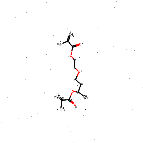 C=C(C)C(=O)OCCOCCC(C)OC(=O)C(=C)C